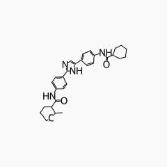 CC1CCCCC1C(=O)Nc1ccc(-c2ncc(-c3ccc(NC(=O)C4CCCCC4)cc3)[nH]2)cc1